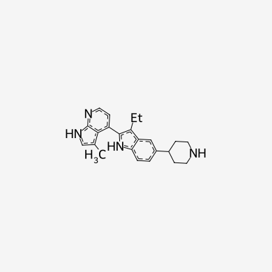 CCc1c(-c2ccnc3[nH]cc(C)c23)[nH]c2ccc(C3CCNCC3)cc12